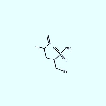 C=CC(C)CC(CC(C)C)S(N)(=O)=O